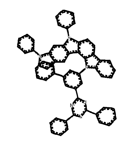 c1ccc(-c2cc(-c3nc(-c4ccccc4)nc(-c4ccccc4)n3)cc(-n3c4ccccc4c4ccc5c(c6cc7ccn(-c8ccccc8)c7cc6n5-c5ccccc5)c43)c2)cc1